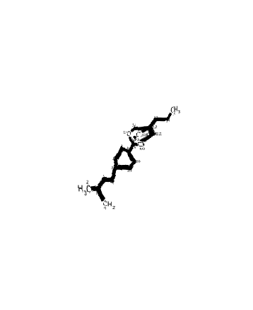 C=C(C)CCc1ccc(C23OCC(CCC)(CO2)CO3)cc1